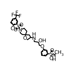 CNS(=O)(=O)c1cccc(OCC(O)CNC2COC3(CCN(S(=O)(=O)c4cc(C(F)(F)F)ccc4Cl)CC3)C2)c1